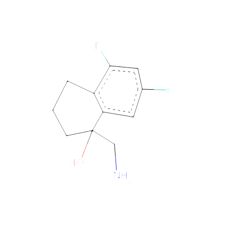 NCC1(O)CCCc2c(F)cc(F)cc21